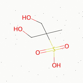 CC(CO)(CO)S(=O)(=O)O